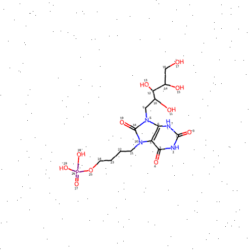 O=c1[nH]c(=O)c2c([nH]1)n(CC(O)C(O)C(O)CO)c(=O)n2CCCCOP(=O)(O)O